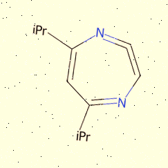 CC(C)C1=CC(C(C)C)=NC=C=N1